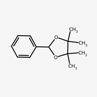 CC1(C)OC(c2cc[c]cc2)OC1(C)C